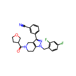 N#Cc1cccc(-c2nn(Cc3ccc(F)cc3F)c3c2CN(C(=O)C2CCOC2)CC3)c1